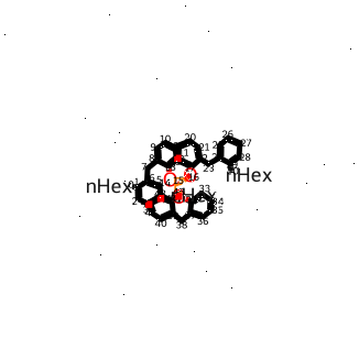 CCCCCCc1ccccc1Cc1ccccc1OP(Oc1ccccc1Cc1ccccc1CCCCCC)Oc1ccccc1Cc1ccccc1CCCCCC